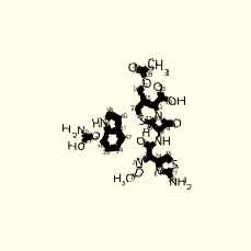 CO/N=C(/C(=O)N[C@@H]1C(=O)N2C(C(=O)O)=C(COC(C)=O)CS[C@H]12)c1csc(N)n1.NC(=O)O.c1ccc2[nH]ccc2c1